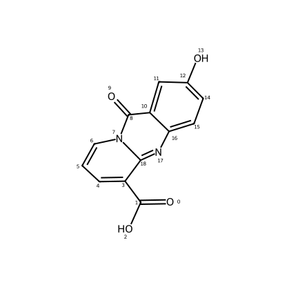 O=C(O)c1cccn2c(=O)c3cc(O)ccc3nc12